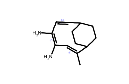 C\C1=C/C(N)=C(N)\C=C\C2CCC1CC2